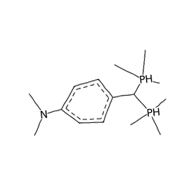 CN(C)c1ccc(C([PH](C)(C)C)[PH](C)(C)C)cc1